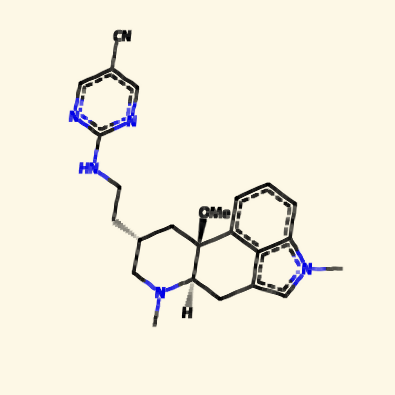 CO[C@]12C[C@@H](CCNc3ncc(C#N)cn3)CN(C)[C@@H]1Cc1cn(C)c3cccc2c13